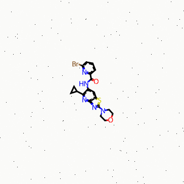 O=C(Nc1cc2sc(N3CCOCC3)nc2nc1C1CC1)c1cccc(Br)n1